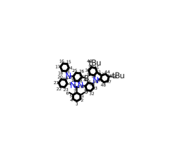 Cc1cccc(C)c1-c1nc2c(N(c3ccccc3)c3ccccc3)ccc3c2n1-c1cccc2c1B3c1cc(C(C)(C)C)cc3c4cc(C(C)(C)C)ccc4n-2c13